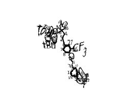 CC1=NC(CCc2ccc(OCCCc3ccc4c(c3)OC(F)(F)O4)c(C(F)(F)F)c2)(COP(=O)(OC(C)(C)C)OC(C)(C)C)CO1